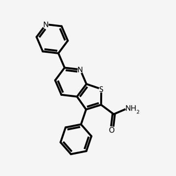 NC(=O)c1sc2nc(-c3ccncc3)ccc2c1-c1ccccc1